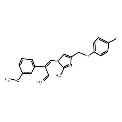 C=C/C(=C\n1cc(COc2ccc(F)cc2)nc1C)c1cccc(OC)c1